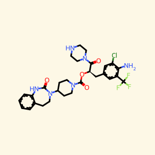 Nc1c(Cl)cc(C[C@@H](OC(=O)N2CCC(N3CCc4ccccc4NC3=O)CC2)C(=O)N2CCNCC2)cc1C(F)(F)F